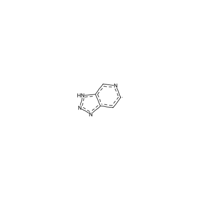 [c]1cc2nn[nH]c2cn1